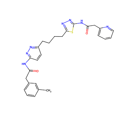 Cc1cccc(CC(=O)Nc2ccc(CCCCc3nnc(NC(=O)Cc4ccccn4)s3)nn2)c1